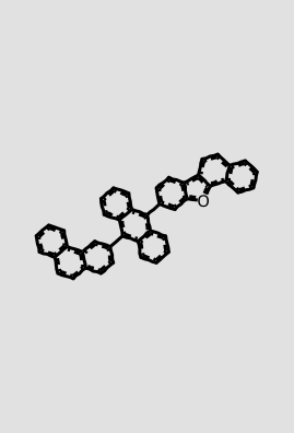 c1ccc2c(c1)ccc1ccc(-c3c4ccccc4c(-c4ccc5c(c4)oc4c6ccccc6ccc54)c4ccccc34)cc12